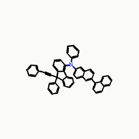 C(#CC1(c2ccccc2)c2ccccc2-c2c(N(c3ccccc3)c3ccc4cc(-c5cccc6ccccc56)ccc4c3)cccc21)c1ccccc1